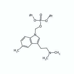 Cc1ccc2c(c1)c(CCN(C)C)cn2COP(=O)(OC(C)C)OC(C)C